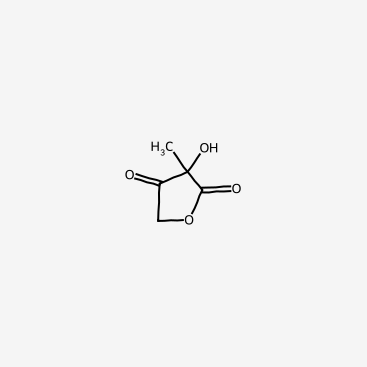 CC1(O)C(=O)COC1=O